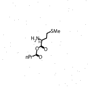 CCCC(=O)OC(=O)[C@@H](N)CCSC